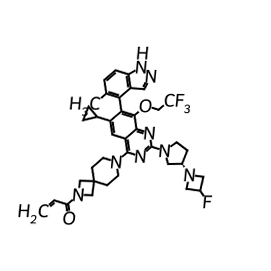 C=CC(=O)N1CC2(CCN(c3nc(N4CC[C@H](N5CC(F)C5)C4)nc4c(OCC(F)(F)F)c(-c5c(C)ccc6[nH]ncc56)c(C5CC5)cc34)CC2)C1